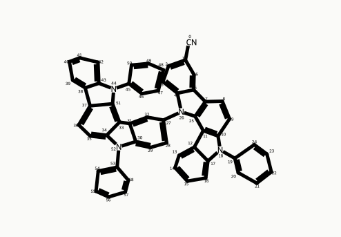 N#Cc1ccc2c(c1)c1ccc3c(c4ccccc4n3-c3ccccc3)c1n2-c1ccc2c(c1)c1c(ccc3c4ccccc4n(-c4ccccc4)c31)n2-c1ccccc1